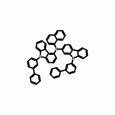 c1ccc(-c2cccc(-n3c4ccccc4c4ccc(N(c5cccc6ccccc56)c5cccc6c5c5ccccc5n6-c5cccc(-c6ccccc6)c5)cc43)c2)cc1